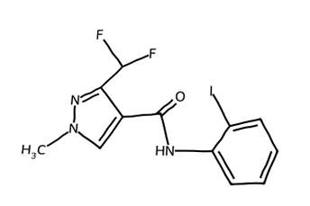 Cn1cc(C(=O)Nc2ccccc2I)c(C(F)F)n1